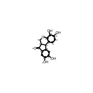 O=C1c2cc(O)c(O)cc2C2c3ccc(O)c(O)c3OCC12